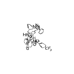 O=C(CSc1nnnn1-c1ccccc1)[C@H](Cc1ccccc1)NC(=O)[C@@H]1CCCN2C(=O)CC[C@H](NS(=O)(=O)c3ccc(C(F)(F)F)cc3)C(=O)N12